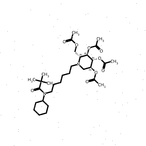 CC(=O)OC[C@@H]1[C@@H](OC(C)=O)[C@H](OC(C)=O)[C@@H](OC(C)=O)CN1CCCCCCN(C(=O)C(C)(C)C)C1CCCCC1